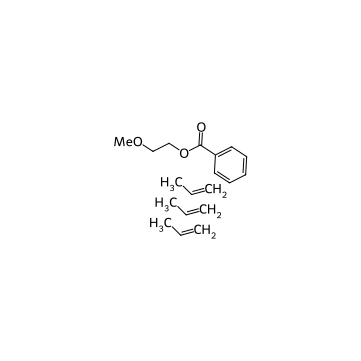 C=CC.C=CC.C=CC.COCCOC(=O)c1ccccc1